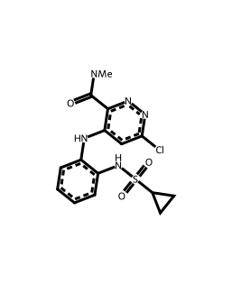 CNC(=O)c1nnc(Cl)cc1Nc1ccccc1NS(=O)(=O)C1CC1